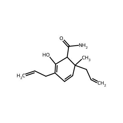 C=CCC1=C(O)C(C(N)=O)C(C)(CC=C)C=C1